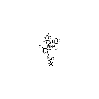 CC(=O)O[C@@H](C(=O)N1CCOC[C@H]1C(=O)NCc1cc(Cl)ccc1CNC(=O)OC(C)(C)C)C(C)(C)C